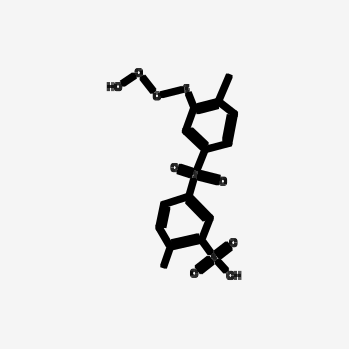 Cc1ccc(S(=O)(=O)c2ccc(C)c(S(=O)(=O)O)c2)cc1SOOO